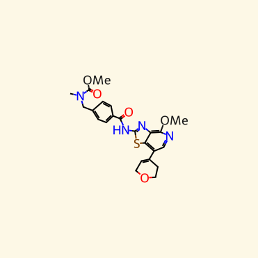 COC(=O)N(C)Cc1ccc(C(=O)Nc2nc3c(OC)ncc(C4=CCOCC4)c3s2)cc1